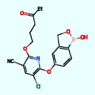 CCC(=O)CCCOc1nc(Oc2ccc3c(c2)COB3O)c(Cl)cc1C#N